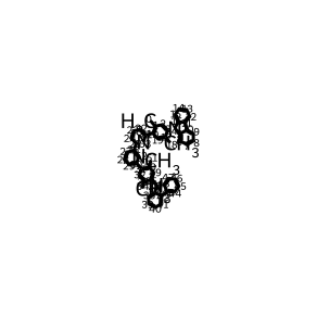 Cc1cc(-n2c3ccccc3c3ccccc32)c(C)cc1-c1cccc(-c2cccc(-c3cc(C)c(-n4c5ccccc5c5ccccc54)cc3C)n2)n1